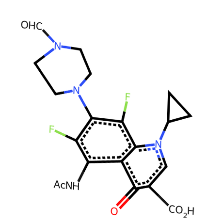 CC(=O)Nc1c(F)c(N2CCN(C=O)CC2)c(F)c2c1c(=O)c(C(=O)O)cn2C1CC1